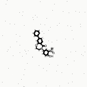 O=C1c2ccc(-c3ccccc3)cc2OCCN1c1ccc(O)c([N+](=O)[O-])c1